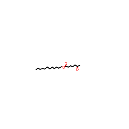 CCCCCCCCCCCCOC(=O)CCCCC(C)=O